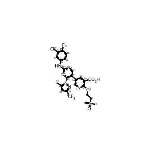 C=S(C)(=O)CCOc1ncc(-c2cnc(Nc3ccc(F)c(Cl)c3)nc2-n2nc(C(F)(F)F)cc2C)cc1C(=O)O